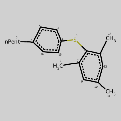 CCCCCc1ccc(Sc2c(C)cc(C)cc2C)cc1